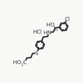 Cl.O=C(O)CCCSc1ccc(CCNC[C@@H](O)c2cccc(Cl)c2)cc1